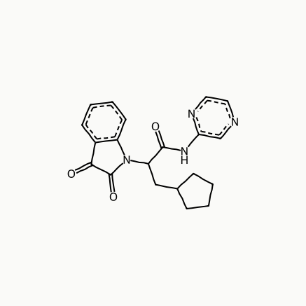 O=C1C(=O)N(C(CC2CCCC2)C(=O)Nc2cnccn2)c2ccccc21